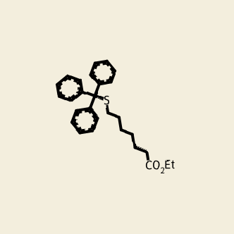 CCOC(=O)CCCCCCSC(c1ccccc1)(c1ccccc1)c1ccccc1